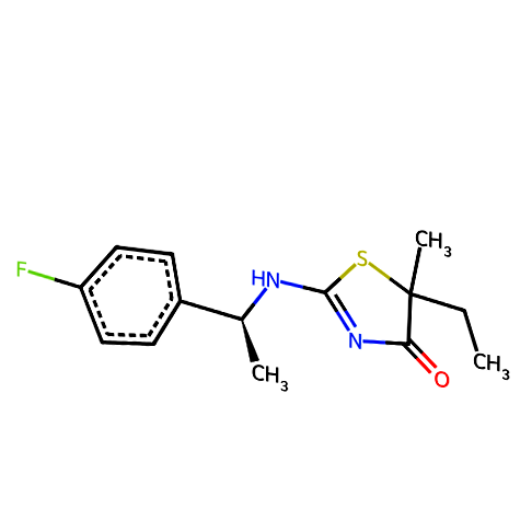 CCC1(C)SC(N[C@@H](C)c2ccc(F)cc2)=NC1=O